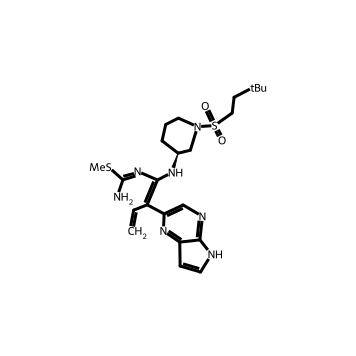 C=C/C(=C(\N=C(/N)SC)N[C@H]1CCCN(S(=O)(=O)CCC(C)(C)C)C1)c1cnc2[nH]ccc2n1